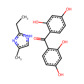 CCc1nc(C)c[nH]1.O=C(c1ccc(O)cc1O)c1ccc(O)cc1O